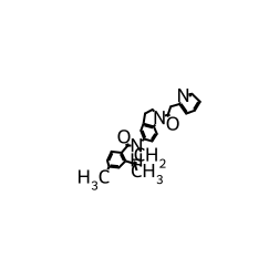 C=C(C)c1cc(C)ccc1C(=O)Nc1ccc2c(c1)CCN2C(=O)Cc1ccccn1